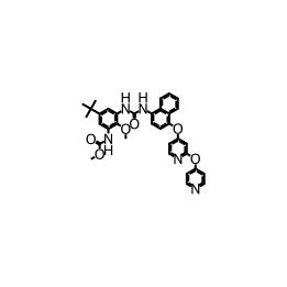 COC(=O)Nc1cc(C(C)(C)C)cc(NC(=O)Nc2ccc(Oc3ccnc(Oc4ccncc4)c3)c3ccccc23)c1OC